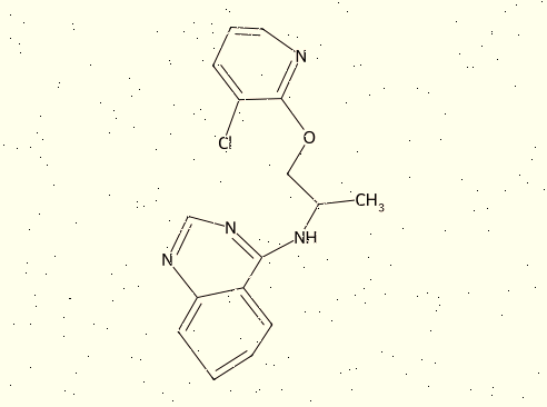 CC(COc1ncccc1Cl)Nc1ncnc2ccccc12